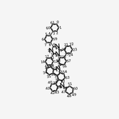 c1ccc(-c2cccc(-c3nc(-c4ccccc4)nc(-c4ccccc4-c4ccc(-n5c6ccccc6c6c7c8ccccc8n(-c8ccccc8)c7ccc65)cc4)n3)c2)cc1